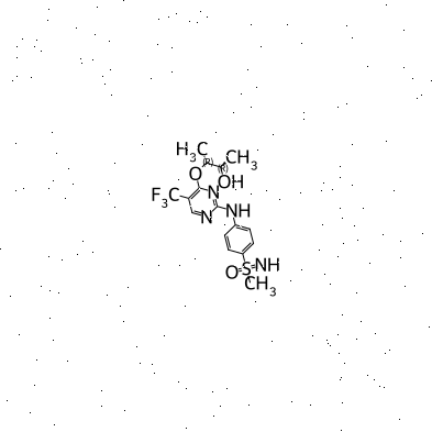 C[C@@H](O)[C@@H](C)Oc1nc(Nc2ccc(S(C)(=N)=O)cc2)ncc1C(F)(F)F